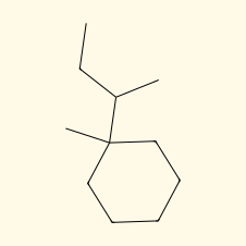 CCC(C)C1(C)CCCCC1